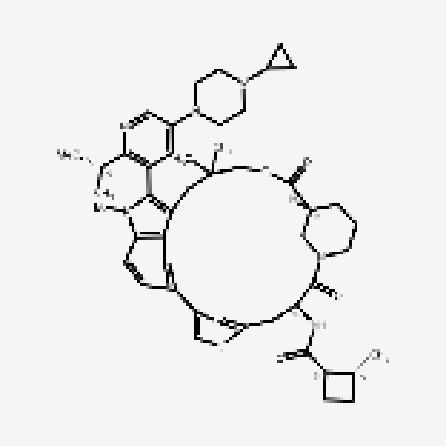 CCn1c(-c2cc(N3CCN(C4CC4)CC3)cnc2[C@H](C)OC)c2c3cc(ccc31)-c1csc(n1)C[C@H](NC(=O)[C@@H]1CC[C@H]1C)C(=O)N1CCC[C@H](N1)C(=O)OCC(C)(C)C2